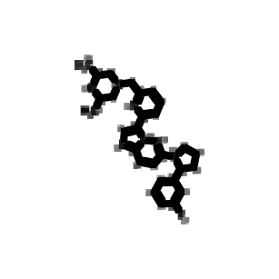 CC1CN(Cc2cccc(-c3cnc4ccc(N5CCCC5c5cccc(F)c5)nn34)n2)CC(C)O1